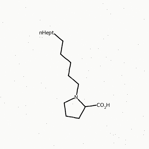 CCCCCCCCCCCCN1CCCC1C(=O)O